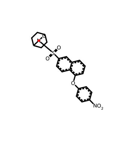 O=[N+]([O-])c1ccc(Oc2cccc3cc(S(=O)(=O)N4CC5CCC(CC5)C4)ccc23)cc1